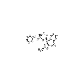 Cc1cc2c(s1)NC=c1cccnc1=C2N1CCNC(CCc2ccncc2)C1